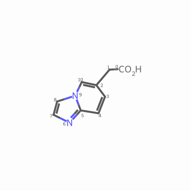 O=C(O)Cc1ccc2nccn2c1